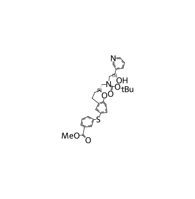 COC(=O)c1cccc(Sc2ccc3c(c2)CC[C@H](CN(C[C@@H](O)c2cccnc2)C(=O)OC(C)(C)C)O3)c1